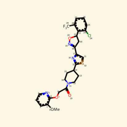 COc1cccnc1OCC(=O)N1CCC(c2nc(C3=NOC(c4c(Cl)cccc4C(F)(F)F)C3)cs2)CC1